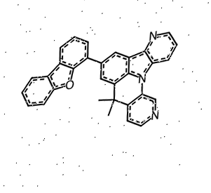 CC1(C)c2ccncc2-n2c3cccnc3c3cc(-c4cccc5c4oc4ccccc45)cc1c32